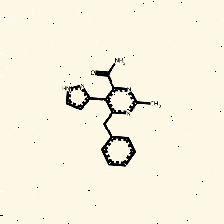 Cc1nc(Cc2ccccc2)c(-c2cc[nH]n2)c(C(N)=O)n1